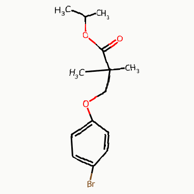 CC(C)OC(=O)C(C)(C)COc1ccc(Br)cc1